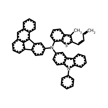 C=C/C=C\c1sc2c(N(c3ccc4c(c3)-c3c5ccccc5cc5cccc-4c35)c3ccc4c(c3)c3ccccc3n4-c3ccccc3)cccc2c1C